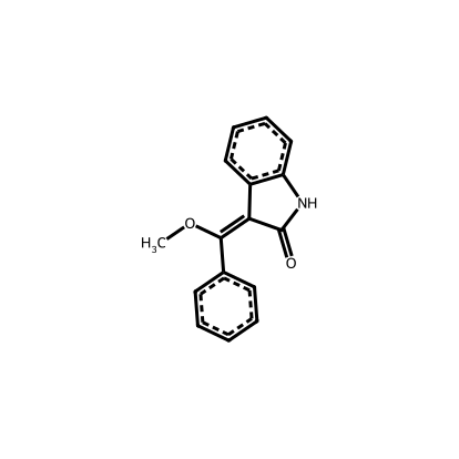 COC(=C1C(=O)Nc2ccccc21)c1ccccc1